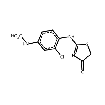 O=C1CSC(Nc2ccc(NC(=O)O)cc2Cl)=N1